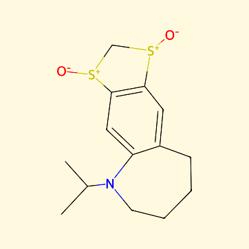 CC(C)N1CCCCc2cc3c(cc21)[S+]([O-])C[S+]3[O-]